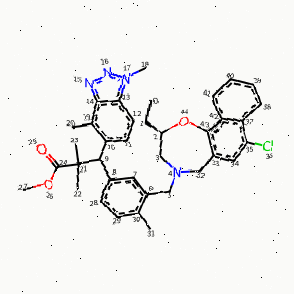 CC[C@@H]1CN(Cc2cc(C(c3ccc4c(nnn4C)c3C)C(C)(C)C(=O)OC)ccc2C)Cc2cc(Cl)c3ccccc3c2O1